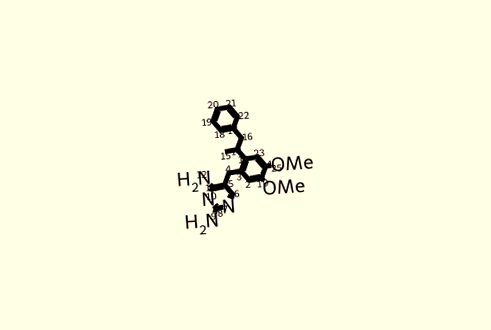 COc1cc(Cc2cnc(N)nc2N)c(C(C)Cc2ccccc2)cc1OC